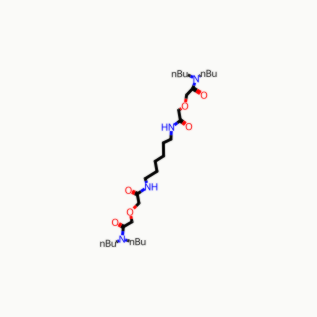 CCCCN(CCCC)C(=O)COCC(=O)NCCCCCCNC(=O)COCC(=O)N(CCCC)CCCC